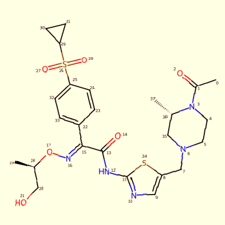 CC(=O)N1CCN(Cc2cnc(NC(=O)/C(=N/O[C@H](C)CO)c3ccc(S(=O)(=O)C4CC4)cc3)s2)C[C@@H]1C